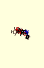 Cc1cc(Cn2ncn(-c3ccccc3)c2=O)cc(C)c1OC(C)(C)C(=O)O